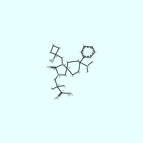 CN(C)C1(c2ccccc2)CCC2(CC1)CN(CC(C)(C)C(N)=O)C(=O)N2CC1(O)CCC1